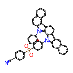 N#Cc1ccc(S(=O)(=O)c2ccc(-n3c4cc5ccccc5cc4c4ccc5c6c7ccccc7ccc6n(-c6ccccc6)c5c43)cc2)cc1